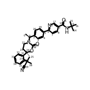 C[C@@H](c1ccc(-c2ccc(C(=O)NC(C)(C)C)cn2)cc1)N1CC[C@](CC(C)(C)C#N)(c2ccccc2)OC1=O